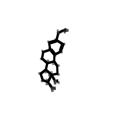 CCCCOc1ccc2c(c1)CCC1C2CC[C@@]2(C)C1CC[C@@H]2O